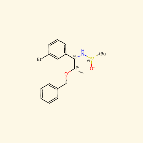 CCc1cccc([C@H](N[S@@+]([O-])C(C)(C)C)[C@H](C)OCc2ccccc2)c1